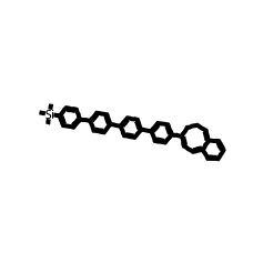 C[Si](C)(C)c1ccc(-c2ccc(-c3ccc(-c4ccc(/C5=C/C=c6/cccc/c6=C/CC5)cc4)cc3)cc2)cc1